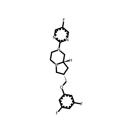 Fc1cnc(N2CCN3C[C@@H](COc4cc(F)cc(F)c4)C[C@H]3C2)nc1